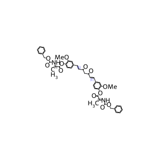 COc1cc(/C=C/C(=O)CC(=O)/C=C/c2ccc(OC(=O)[C@H](C)NC(=O)OCc3ccccc3)c(OC)c2)ccc1OC(=O)[C@H](C)NC(=O)OCc1ccccc1